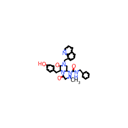 CN1CC(=O)N2C(Cc3ccc(O)cc3)C(=O)N(Cc3cccc4cccnc34)CC2N1C(=O)NCc1ccccc1